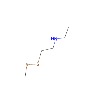 CCNCCSSC